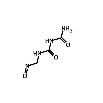 NC(=O)NC(=O)NCN=O